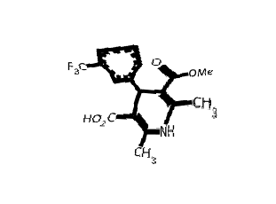 COC(=O)C1=C(C)NC(C)=C(C(=O)O)C1c1cccc(C(F)(F)F)c1